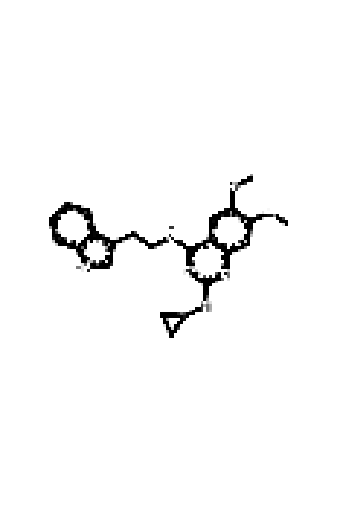 COc1cc2nc(NC3CC3)nc(NCCc3c[nH]c4ccccc34)c2cc1OC